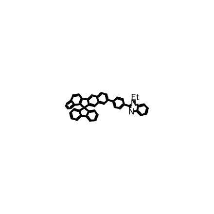 CCn1c(-c2ccc(-c3ccc4cc5c(cc4c3)C3(c4ccccc4-c4ccccc43)c3c-5ccc4ccccc34)cc2)nc2ccccc21